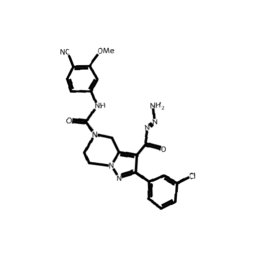 COc1cc(NC(=O)N2CCn3nc(-c4cccc(Cl)c4)c(C(=O)N=NN)c3C2)ccc1C#N